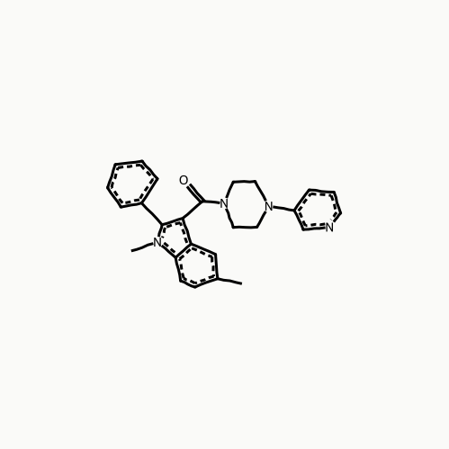 Cc1ccc2c(c1)c(C(=O)N1CCN(c3cccnc3)CC1)c(-c1ccccc1)n2C